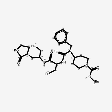 CC(C)CC(NC(=O)N(Cc1ccccc1)C1CCN(C(=O)OC(C)(C)C)CC1)C(=O)NC(CO)C[C@@H]1CCNC1=O